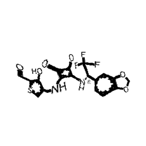 O=Cc1scc(Nc2c(N[C@@H](c3ccc4c(c3)OCO4)C(F)(F)F)c(=O)c2=O)c1O